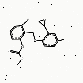 COC(=O)Oc1cccc(F)c1COc1ccc(C)cc1C1CC1